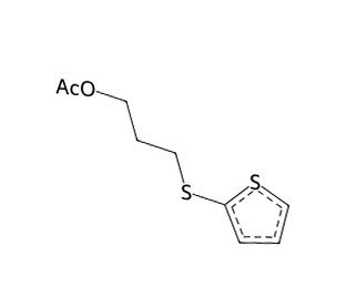 CC(=O)OCCCSc1cccs1